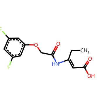 CC/C(=C\C(=O)O)NC(=O)COc1cc(F)cc(F)c1